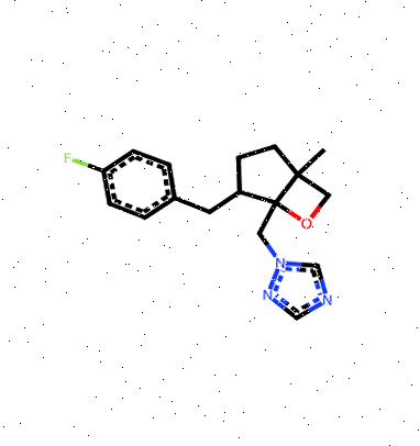 CC12CCC(Cc3ccc(F)cc3)C1(Cn1cncn1)OC2